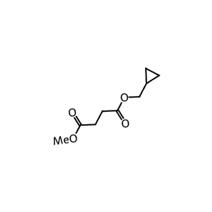 COC(=O)CCC(=O)OCC1CC1